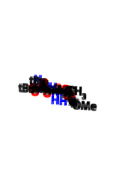 COc1ccc(CC2OCC(C)(C)[C@H](C(=O)NCCC(=O)NCCSC(=O)[C@H](CCCNC(=O)OC(C)(C)C)NC(=O)OC(C)(C)C)O2)cc1